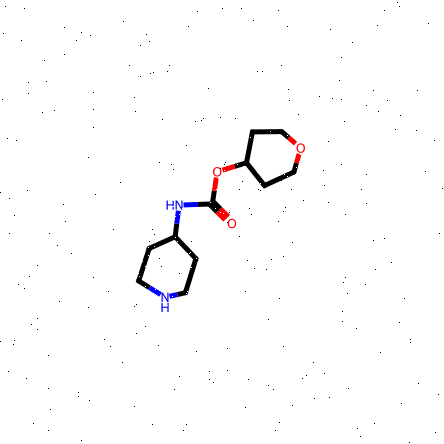 O=C(NC1CCNCC1)OC1CCOCC1